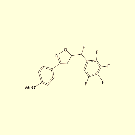 COc1ccc(C2=NOC(C(F)c3cc(F)c(F)c(F)c3F)C2)cc1